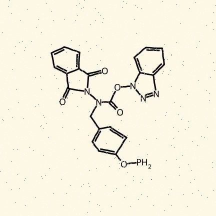 O=C(On1nnc2ccccc21)N(Cc1ccc(OP)cc1)N1C(=O)c2ccccc2C1=O